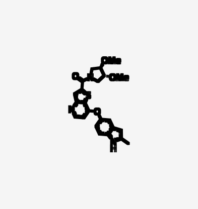 CO[C@@H]1CN(C(=O)c2cc3nccc(Oc4ccc5[nH]c(C)cc5c4)c3s2)C[C@H]1OC